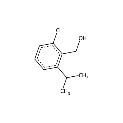 CC(C)c1cccc(Cl)c1CO